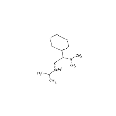 CC(C)NCC(C1CCCCC1)N(C)C